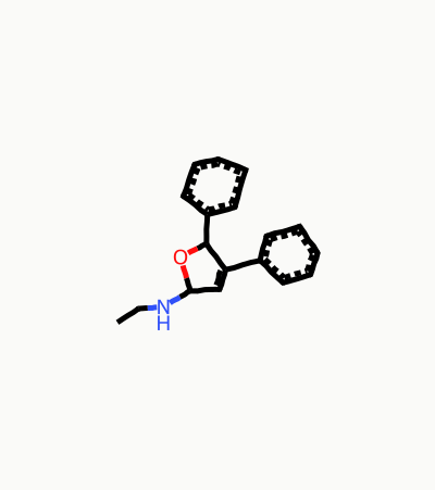 CCNC1C=C(c2ccccc2)C(c2ccccc2)O1